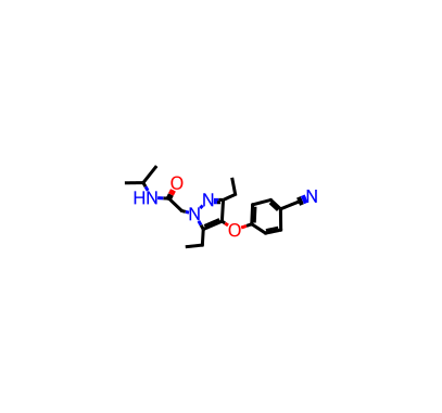 CCc1nn(CC(=O)NC(C)C)c(CC)c1Oc1ccc(C#N)cc1